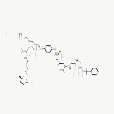 CNC(C(=O)NC(C(=O)N(C)C(C=C(C)C(=O)NS(=O)(=O)Cc1ccc(NC(=O)C(CCCNC(N)=O)NC(=O)C(NC(=O)CCCCCN2C(=O)C=CC2=O)C(C)C)cc1)C(C)C)C(C)(C)C)C(C)(C)c1ccccc1